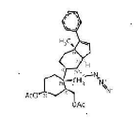 CC(=O)OC[C@H]1C[C@@H](OC(C)=O)CC[C@]1(C)[C@H]1CC[C@]2(C)C(c3ccccc3)=CC[C@H]2[C@@H]1CN=[N+]=[N-]